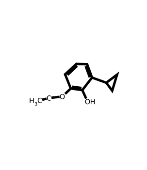 CCOc1cccc(C2CC2)c1O